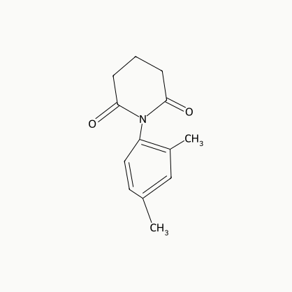 Cc1ccc(N2C(=O)CCCC2=O)c(C)c1